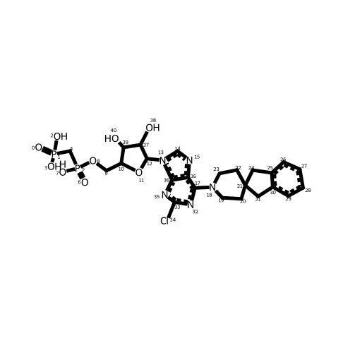 O=P(O)(O)CP(=O)(O)OCC1OC(n2cnc3c(N4CCC5(CC4)Cc4ccccc4C5)nc(Cl)nc32)C(O)C1O